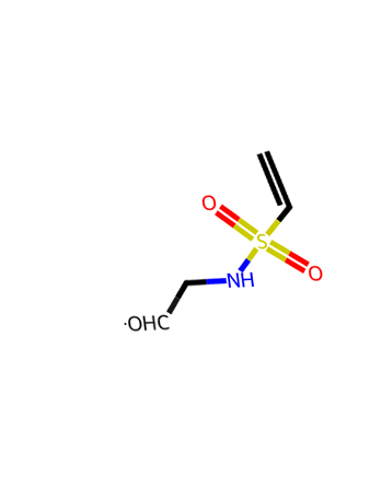 C=CS(=O)(=O)NC[C]=O